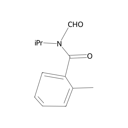 Cc1ccccc1C(=O)N(C=O)C(C)C